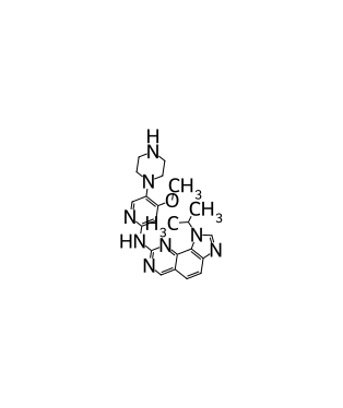 COc1cc(Nc2ncc3ccc4ncn(C(C)C)c4c3n2)ncc1N1CCNCC1